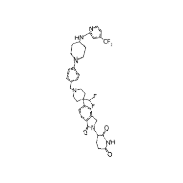 O=C1CCC(N2Cc3cc(C4(C(F)F)CCN(Cc5ccc(N6CCC(Nc7cc(C(F)(F)F)ccn7)CC6)cc5)CC4)ccc3C2=O)C(=O)N1